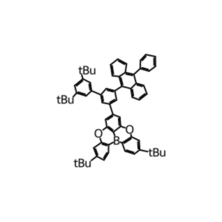 CC(C)(C)c1cc(-c2cc(-c3cc4c5c(c3)Oc3cc(C(C)(C)C)ccc3B5c3ccc(C(C)(C)C)cc3O4)cc(-c3c4ccccc4c(-c4ccccc4)c4ccccc34)c2)cc(C(C)(C)C)c1